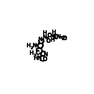 Cc1c(-c2cc3cc(NC(=O)O[C@H]4[C@@H]5CN(C6COC6)C[C@@H]54)ncc3c(N)c2F)cnc2c1NCCO2